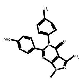 Bc1ccc(-n2c(-c3ccc(SC)cc3)nc3c(c(N)nn3C)c2=O)cc1